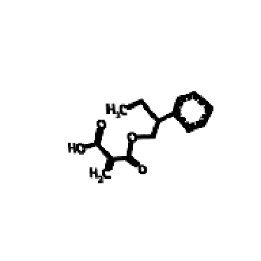 C=C(C(=O)O)C(=O)OCC(CC)c1ccccc1